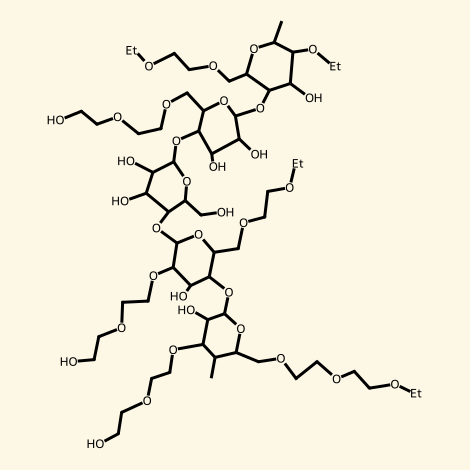 CCOCCOCCOCC1OC(OC2C(COCCOCC)OC(OC3C(CO)OC(OC4C(COCCOCCO)OC(OC5C(COCCOCC)OC(C)C(OCC)C5O)C(O)C4O)C(O)C3O)C(OCCOCCO)C2O)C(O)C(OCCOCCO)C1C